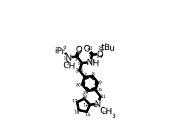 CC(C)N(C)C(=O)C(Cc1ccc(CN(C)C2CCCC2)cc1)NC(=O)OC(C)(C)C